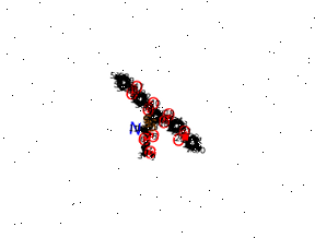 COC(C)CCOC(=O)C(C#N)=C1Sc2c(OC(=O)C3CCC(OC(=O)C4CCC(C)CC4)CC3)ccc(OC(=O)C3CCC(OC(=O)C4CCC(C)CC4)CC3)c2S1